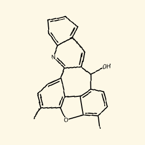 Cc1ccc2c3c1oc1c(C)ccc(c13)C(O)c1cc3ccccc3nc1-2